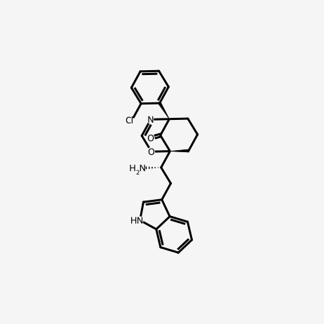 N[C@@H](Cc1c[nH]c2ccccc12)[C@]12CCC[C@@](c3ccccc3Cl)(N=CO1)C2=O